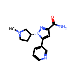 N#CN1CC[C@@H](n2nc(C(N)=O)cc2-c2cccnc2)C1